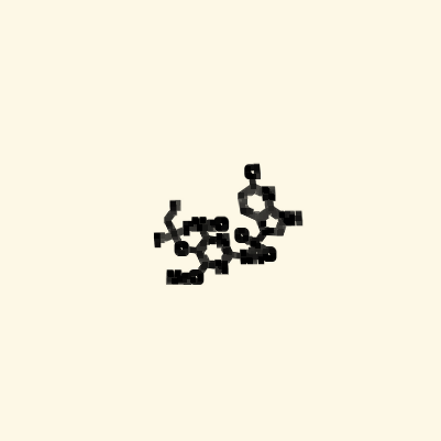 COc1nc(NS(=O)(=O)c2c[nH]c3nc(Cl)ccc23)nc(OC)c1OC(F)(F)CF